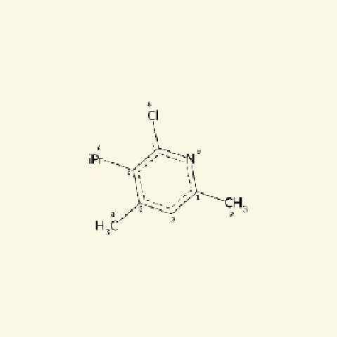 Cc1cc(C)c(C(C)C)c(Cl)n1